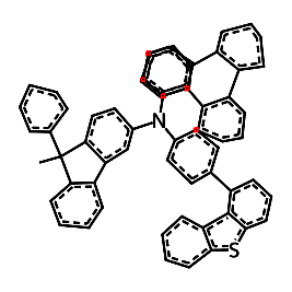 CC1(c2ccccc2)c2ccccc2-c2cc(N(c3ccc(-c4cccc5sc6ccccc6c45)cc3)c3ccccc3-c3ccccc3-c3ccccc3-c3ccccc3)ccc21